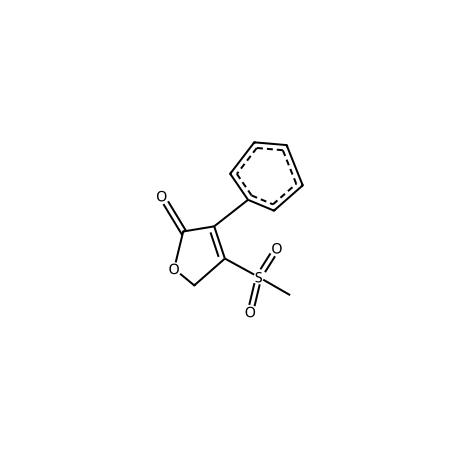 CS(=O)(=O)C1=C(c2ccccc2)C(=O)OC1